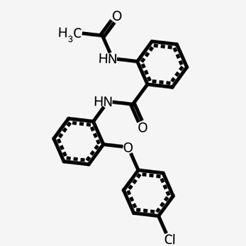 CC(=O)Nc1ccccc1C(=O)Nc1ccccc1Oc1ccc(Cl)cc1